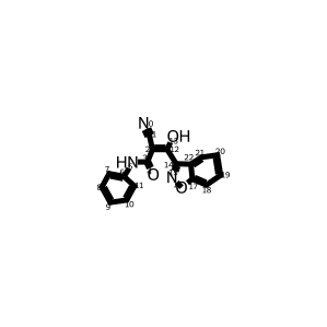 N#CC(C(=O)Nc1ccccc1)=C(O)c1noc2ccccc12